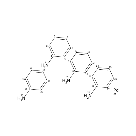 Nc1ccccc1.Nc1ccccc1.Nc1ccccc1.Nc1ccccc1.[Pd]